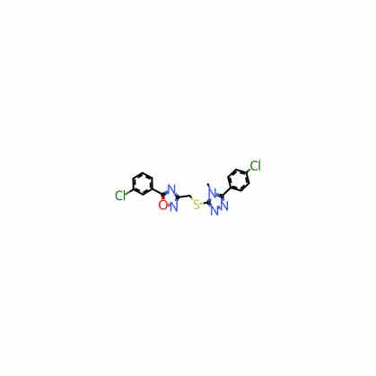 Cn1c(SCc2noc(-c3cccc(Cl)c3)n2)nnc1-c1ccc(Cl)cc1